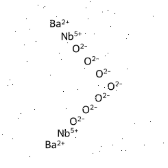 [Ba+2].[Ba+2].[Nb+5].[Nb+5].[O-2].[O-2].[O-2].[O-2].[O-2].[O-2].[O-2]